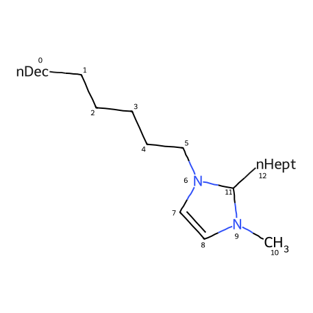 CCCCCCCCCCCCCCCN1C=CN(C)C1CCCCCCC